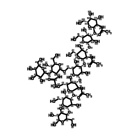 CC(=O)N[C@H]1[C@@H](O[C@H]2[C@@H](O)[C@@H](CO)O[C@@H](O[C@H]3[C@H](O)[C@@H](CO)O[C@@H](O[C@H]4[C@@H](O)[C@@H](CO[C@@H]5O[C@H](CO)[C@@H](O)[C@H](O[C@@H]6O[C@H](CO)[C@H](O)[C@H](O)[C@H]6O)[C@H]5NC(C)=O)O[C@@H](O[C@H]5[C@H](O)[C@@H](CO)O[C@@H](O[C@H]6[C@@H](O)[C@@H](CO)O[C@@H](O[C@H]7[C@H](O)[C@@H](O)[C@H](O)O[C@@H]7CO)[C@@H]6O)[C@@H]5NC(C)=O)[C@@H]4O)[C@@H]3NC(C)=O)[C@@H]2O)O[C@H](CO)[C@H](O)[C@@H]1O